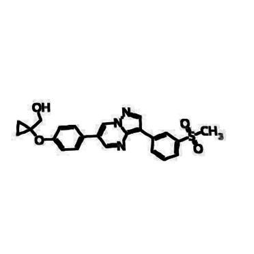 CS(=O)(=O)c1cccc(-c2cnn3cc(-c4ccc(OC5(CO)CC5)cc4)cnc23)c1